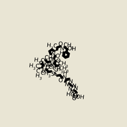 CC[C@H](C)[C@@H]([C@@H](CC(=O)N1CCC[C@H]1C[C@@H](C)C(=O)N[C@H](C)[C@@H](O)c1ccccc1)OC)N(C)C(=O)[C@@H](NC(=O)[C@H](C(C)C)N(C)C(=O)CCSSCCC(=O)Nc1cnc(-c2nnc(CP(=O)(O)O)nn2)nc1)C(C)C